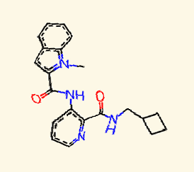 Cn1c(C(=O)Nc2cccnc2C(=O)NCC2CCC2)cc2ccccc21